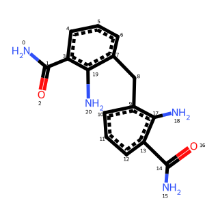 NC(=O)c1cccc(Cc2cccc(C(N)=O)c2N)c1N